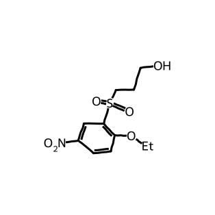 CCOc1ccc([N+](=O)[O-])cc1S(=O)(=O)CCCO